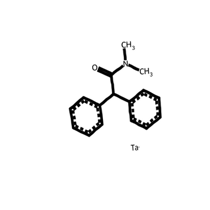 CN(C)C(=O)C(c1ccccc1)c1ccccc1.[Ta]